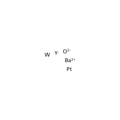 [Ba+2].[O-2].[Pt].[W].[Y]